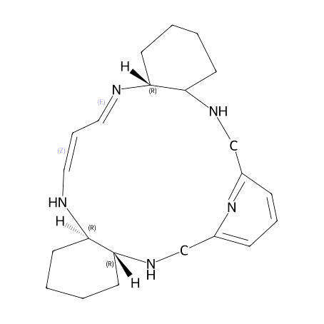 C1=C\N[C@@H]2CCCC[C@H]2NCc2cccc(n2)CNC2CCCC[C@H]2/N=C/1